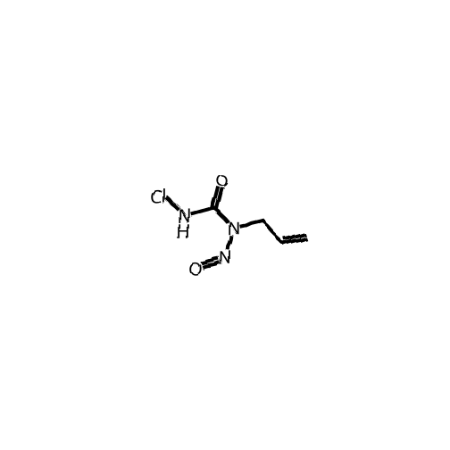 C=CCN(N=O)C(=O)NCl